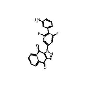 Nc1cccc(-c2c(F)cc(-n3nnc4c3C(=O)c3ccccc3C4=O)cc2F)c1